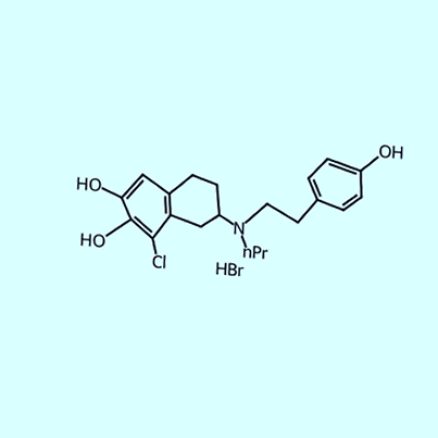 Br.CCCN(CCc1ccc(O)cc1)C1CCc2cc(O)c(O)c(Cl)c2C1